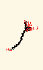 O=C(O)C(CCCCCCCCCCCCCCCCO)(CC(O)CO)CC(O)CO